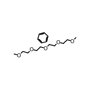 COCCOCCOCCOCCOC.c1ccccc1